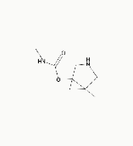 CNC(=O)OC12CNCC1(C)C2